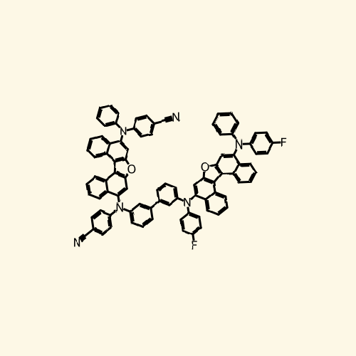 N#Cc1ccc(N(c2ccccc2)c2cc3oc4cc(N(c5ccc(C#N)cc5)c5cccc(-c6cccc(N(c7ccc(F)cc7)c7cc8oc9cc(N(c%10ccccc%10)c%10ccc(F)cc%10)c%10ccccc%10c9c8c8ccccc78)c6)c5)c5ccccc5c4c3c3ccccc23)cc1